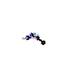 CC(=O)N1CCC(Cn2ncc(Cl)c2C(=O)Nc2ncc(C#Cc3ccccc3)cc2F)CC1